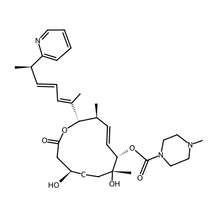 C/C(=C\C=C\[C@@H](C)c1ccccn1)[C@H]1OC(=O)C[C@H](O)CC[C@@](C)(O)[C@@H](OC(=O)N2CCN(C)CC2)/C=C/[C@@H]1C